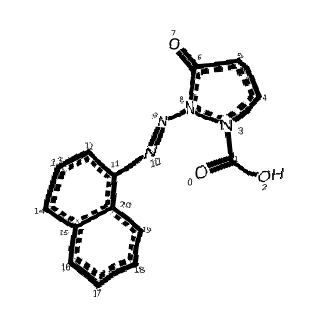 O=C(O)n1ccc(=O)n1/N=N/c1cccc2ccccc12